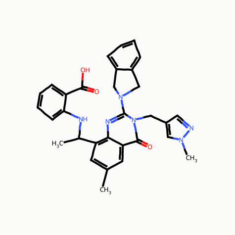 Cc1cc(C(C)Nc2ccccc2C(=O)O)c2nc(N3Cc4ccccc4C3)n(Cc3cnn(C)c3)c(=O)c2c1